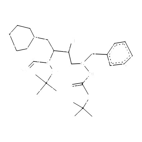 CC(C)(C)OC(=O)NN(Cc1ccccc1)CC(O)C(CC1CCCCC1)N(C=O)OC(C)(C)C